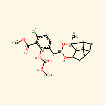 CCCCOC(=O)c1c(Cl)ccc(CB2OC3CC4C5CC6C45C3[C@@]6(C)O2)c1OC(=O)OC(C)(C)C